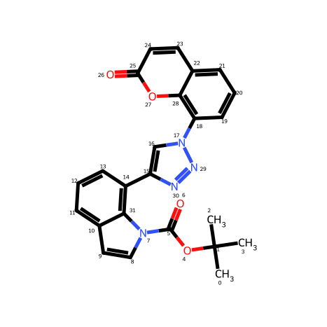 CC(C)(C)OC(=O)n1ccc2cccc(-c3cn(-c4cccc5ccc(=O)oc45)nn3)c21